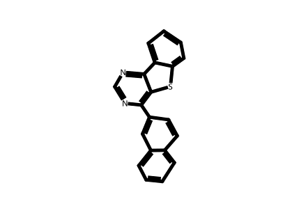 c1ccc2cc(-c3ncnc4c3sc3ccccc34)ccc2c1